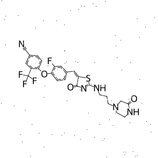 N#Cc1ccc(Oc2ccc(C=C3SC(NCCCN4CCNC(=O)C4)=NC3=O)cc2F)c(C(F)(F)F)c1